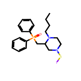 CCCCN1CCN(SI)CC1CP(=O)(c1ccccc1)c1ccccc1